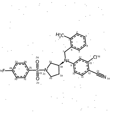 Cc1ccccc1CN(c1ccc(C#N)c(Cl)c1)[C@H]1CCN(S(=O)(=O)c2ccc(F)cc2)C1